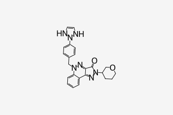 O=c1c2nn(Cc3ccc(N4NC=CN4)cc3)c3ccccc3c-2nn1C1CCCOC1